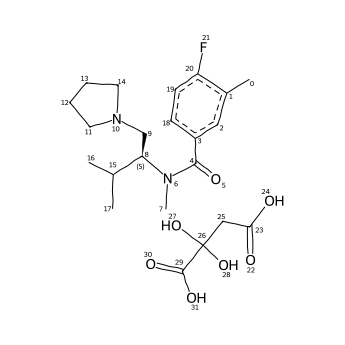 Cc1cc(C(=O)N(C)[C@H](CN2CCCC2)C(C)C)ccc1F.O=C(O)CC(O)(O)C(=O)O